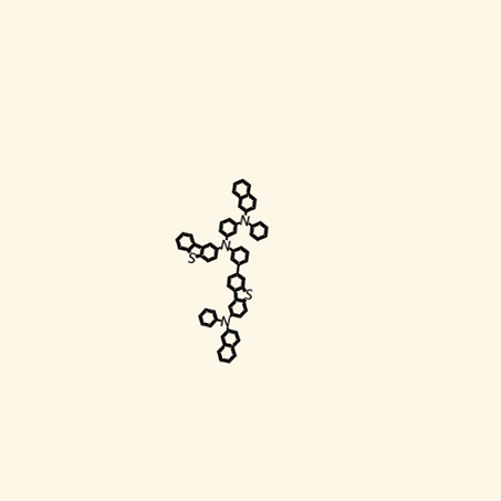 c1ccc(N(c2cccc(N(c3cccc(-c4ccc5c(c4)sc4ccc(N(c6ccccc6)c6ccc7ccccc7c6)cc45)c3)c3ccc4sc5ccccc5c4c3)c2)c2ccc3ccccc3c2)cc1